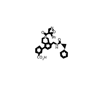 CC(C)c1oncc1C(=O)N1CCc2c(-c3cccc(C(=O)O)c3)ccc(CNC(=O)[C@@H]3C[C@@H]3c3ccccc3)c2C1